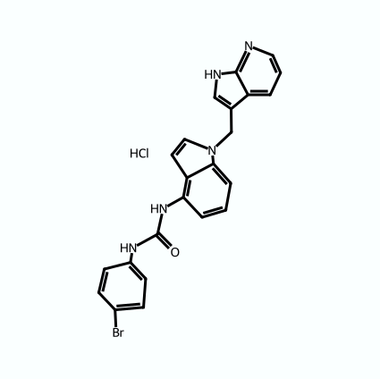 Cl.O=C(Nc1ccc(Br)cc1)Nc1cccc2c1ccn2Cc1c[nH]c2ncccc12